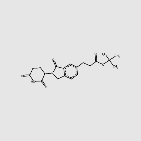 CC(C)(C)OC(=O)CCc1ccc2c(c1)C(=O)N(C1CCC(=O)NC1=O)C2